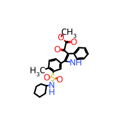 COC(=O)C(=O)c1c(-c2ccc(C)c(S(=O)(=O)NC3CCCCC3)c2)[nH]c2ccccc12